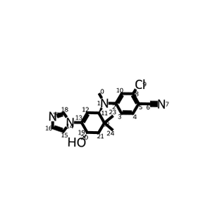 CN(c1ccc(C#N)c(Cl)c1)[C@@H]1C=C(n2ccnc2)[C@@H](O)CC1(C)C